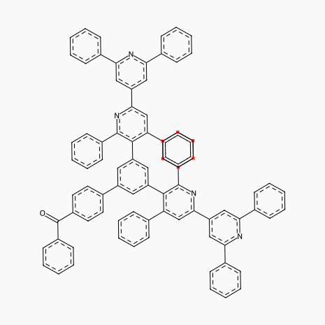 O=C(c1ccccc1)c1ccc(-c2cc(-c3c(-c4ccccc4)cc(-c4cc(-c5ccccc5)nc(-c5ccccc5)c4)nc3-c3ccccc3)cc(-c3c(-c4ccccc4)cc(-c4cc(-c5ccccc5)nc(-c5ccccc5)c4)nc3-c3ccccc3)c2)cc1